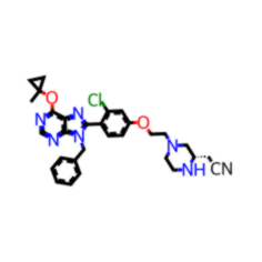 CC1(Oc2ncnc3c2nc(-c2ccc(OCCN4CCN[C@@H](CC#N)C4)cc2Cl)n3Cc2ccccc2)CC1